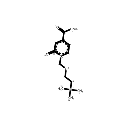 COC(=O)c1ccn(COCC[Si](C)(C)C)c(=O)c1